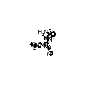 CN1CCC[C@H]1COc1nc(-c2noc([C@@]3(C)CCCc4sc(N)c(C#N)c43)n2)cc(N2CCN(C(=O)OC(C)(C)C)CC2)n1